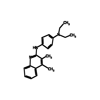 CCN(CC)c1ccc(Nc2nc3ccccc3c(C)c2C)cc1